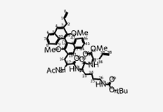 C=CCc1cc2ccccc2c(-c2c(OC)c(CC(NC(C)=O)C(=O)N[C@H](CCCCNC(=O)OC(C)(C)C)C(=O)N[C@@H](CC=C)C(=O)OC)cc3ccccc23)c1OC